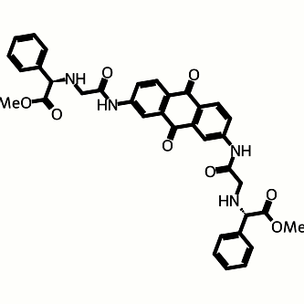 COC(=O)[C@@H](NCC(=O)Nc1ccc2c(c1)C(=O)c1cc(NC(=O)CN[C@@H](C(=O)OC)c3ccccc3)ccc1C2=O)c1ccccc1